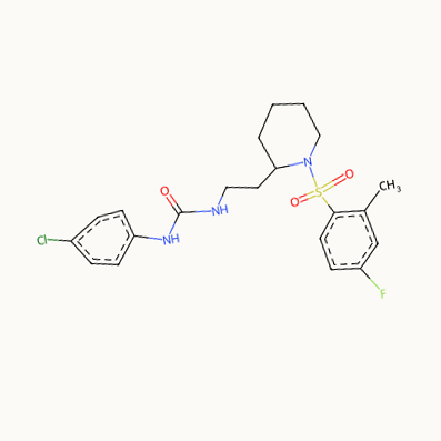 Cc1cc(F)ccc1S(=O)(=O)N1CCCCC1CCNC(=O)Nc1ccc(Cl)cc1